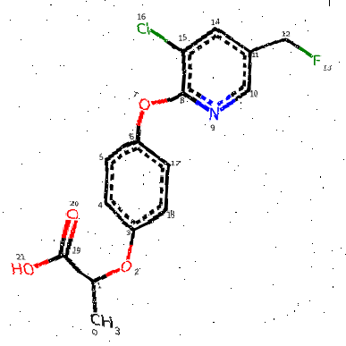 CC(Oc1ccc(Oc2ncc(CF)cc2Cl)cc1)C(=O)O